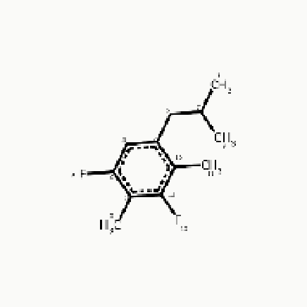 Cc1c(F)cc(CC(C)C)c(C)c1F